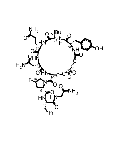 CC[C@H](C)[C@@H]1NC(=O)[C@H](Cc2ccc(O)cc2)NC(=O)CCS(=O)(=O)CC[C@@H](C(=O)N2C[C@H](F)C[C@H]2C(=O)N[C@@H](CC(C)C)C(=O)NCC(N)=O)NC(=O)[C@H](CC(N)=O)NC(=O)[C@H](CCC(N)=O)NC1=O